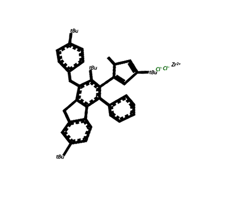 CC1C=C(C(C)(C)C)C=C1c1c(-c2ccccc2)c2c(c(Cc3ccc(C(C)(C)C)cc3)c1C(C)(C)C)Cc1cc(C(C)(C)C)ccc1-2.[Cl-].[Cl-].[Zr+2]